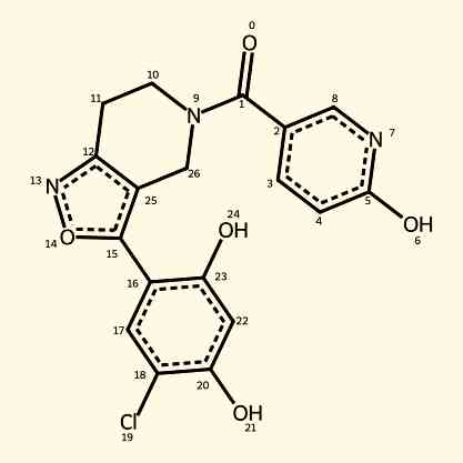 O=C(c1ccc(O)nc1)N1CCc2noc(-c3cc(Cl)c(O)cc3O)c2C1